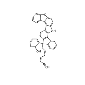 C#C/C=C\C=C/CC1(c2ccccc2O)c2ccccc2-c2c1ccc1c2[nH]c2ccc3oc4ccccc4c3c21